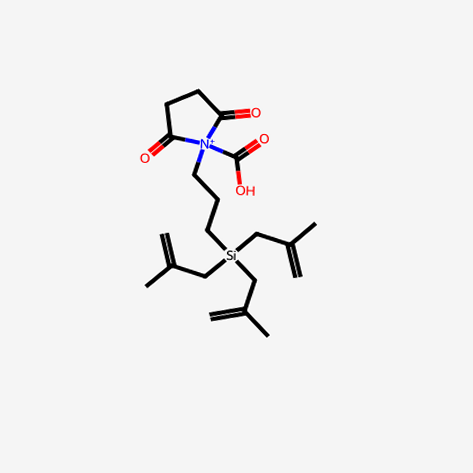 C=C(C)C[Si](CCC[N+]1(C(=O)O)C(=O)CCC1=O)(CC(=C)C)CC(=C)C